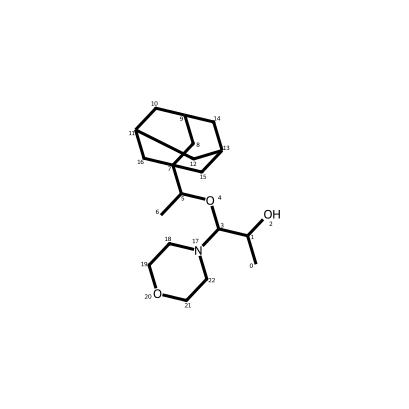 CC(O)C(OC(C)C12CC3CC(CC(C3)C1)C2)N1CCOCC1